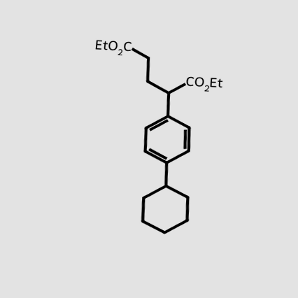 CCOC(=O)CCC(C(=O)OCC)c1ccc(C2CCCCC2)cc1